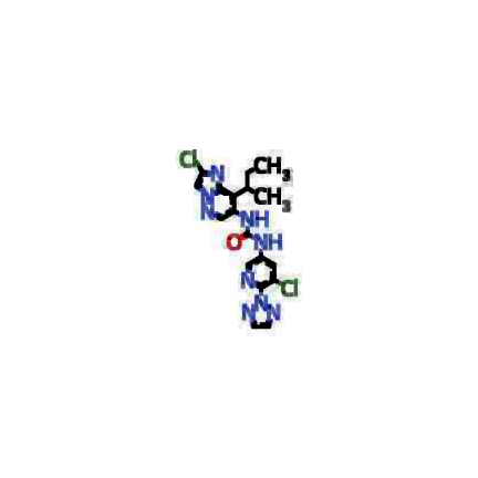 CCC(C)c1c(NC(=O)Nc2cnc(-n3nccn3)c(Cl)c2)cnn2cc(Cl)nc12